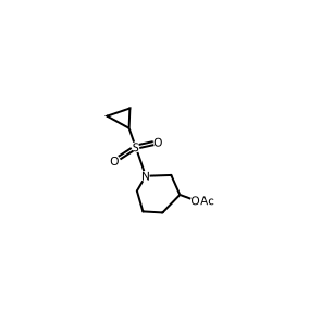 CC(=O)OC1CCCN(S(=O)(=O)C2CC2)C1